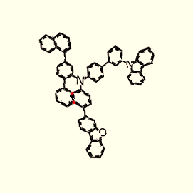 c1ccc(-c2ccc(-c3cccc4ccccc34)cc2N(c2ccc(-c3cccc(-n4c5ccccc5c5ccccc54)c3)cc2)c2ccc(-c3ccc4c(c3)oc3ccccc34)cc2)cc1